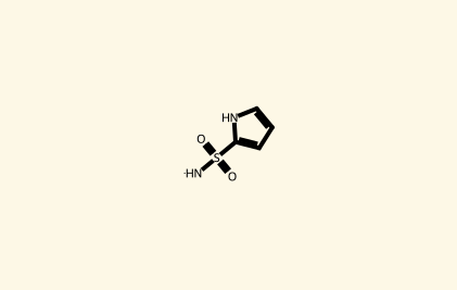 [NH]S(=O)(=O)c1ccc[nH]1